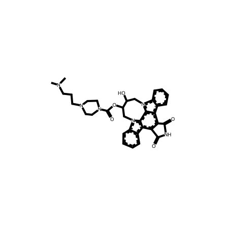 CN(C)CCCN1CCN(C(=O)OC2Cn3c4ccccc4c4c5c(c6c7ccccc7n(c6c43)CC2O)C(=O)NC5=O)CC1